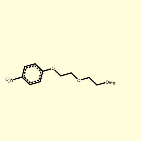 COCCOCCOc1ccc([N+](=O)[O-])cc1